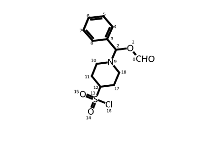 O=COC(c1ccccc1)N1CCC(S(=O)(=O)Cl)CC1